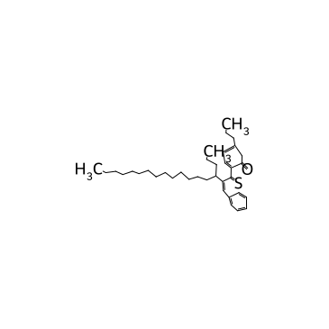 CCCCCCCCCCCCCCC(CCC)C(=Cc1ccccc1)C(=S)C1=CC=C(CCC)CC1=O